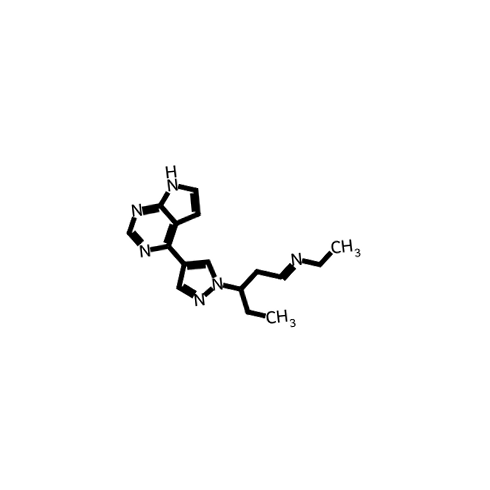 CC/N=C/CC(CC)n1cc(-c2ncnc3[nH]ccc23)cn1